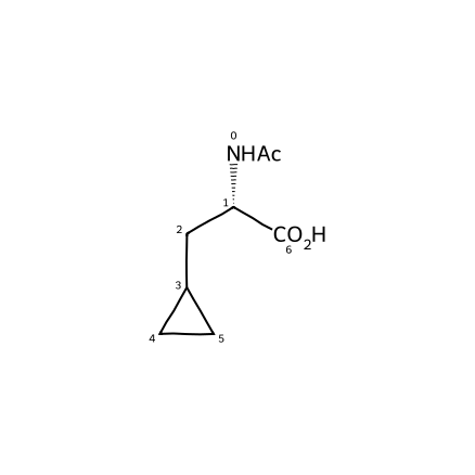 CC(=O)N[C@@H](CC1CC1)C(=O)O